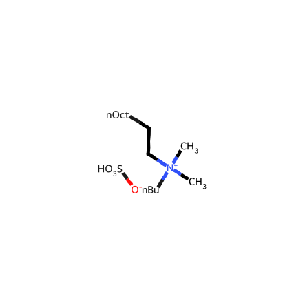 CCCCCCCCCC[N+](C)(C)CCCC.O=S(=O)([O-])O